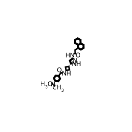 CN(C)c1ccc(C(=O)N[C@H]2C[C@@H](c3cc(NC(=O)Cc4cccc5ccccc45)n[nH]3)C2)cc1